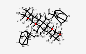 CCC1(OC(=O)C(C(F)(F)C(F)(F)C(F)(F)C(F)(F)F)(C(F)(F)C(F)(F)C(F)(F)C(F)(F)F)C(C(=O)OC2(CC)C3CC4CC(C3)CC2C4)(C(F)(F)C(F)(F)C(F)(F)C(F)(F)F)C(F)(F)C(F)(F)C(F)(F)C(F)(F)F)C2CC3CC(C2)CC1C3